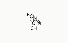 C#CCOC/C(=N\c1ccc(F)cc1Cl)n1ccnc1